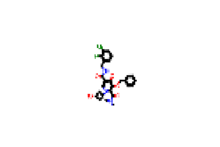 CN1C[C@]2(C[C@@H](O)C2)n2cc(C(=O)NCc3cccc(Cl)c3F)c(=O)c(OCc3ccccc3)c2C1=O